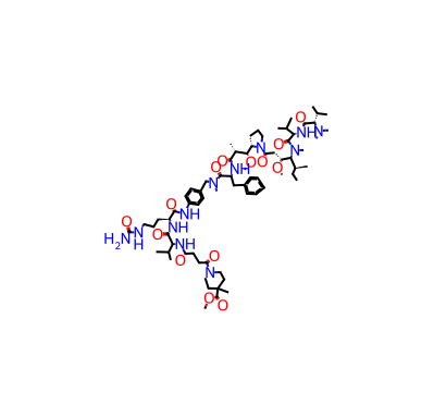 CC[C@H](C)[C@@H]([C@@H](CC(=O)N1CCC[C@H]1[C@H](OC)[C@@H](C)C(=O)NC(Cc1ccccc1)C(=O)N(C)Cc1ccc(NC(=O)[C@H](CCCNC(N)=O)NC(=O)[C@@H](NC(=O)CCC(=O)N2CCC(C)(C(=O)OC)CC2)C(C)C)cc1)OC)N(C)C(=O)[C@@H](NC(=O)[C@H](C(C)C)N(C)C)C(C)C